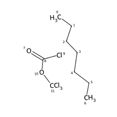 CCCCCCC.O=C(Cl)OC(Cl)(Cl)Cl